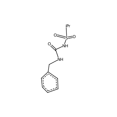 CC(C)S(=O)(=O)NC(=O)NCc1ccccc1